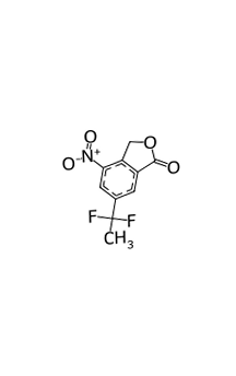 CC(F)(F)c1cc2c(c([N+](=O)[O-])c1)COC2=O